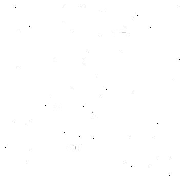 CC(C)(C)c1nc2cc(O)ccc2o1